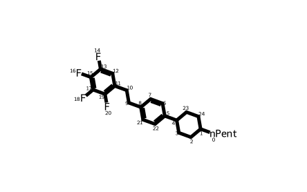 CCCCCC1CCC(c2ccc(CCc3cc(F)c(F)c(F)c3F)cc2)CC1